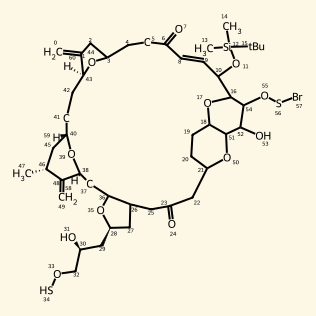 C=C1CC2CCC(=O)/C=C/C(O[Si](C)(C)C(C)(C)C)C3OC4CCC(CC(=O)CC5C[C@@H](C[C@H](O)COS)OC5C[C@H]5O[C@@H](CC[C@@H]1O2)C[C@@H](C)C5=C)OC4C(O)C3OSBr